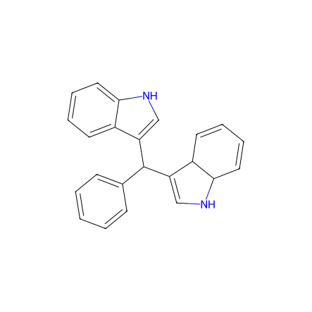 C1=CC2NC=C(C(c3ccccc3)c3c[nH]c4ccccc34)C2C=C1